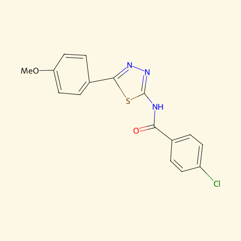 COc1ccc(-c2nnc(NC(=O)c3ccc(Cl)cc3)s2)cc1